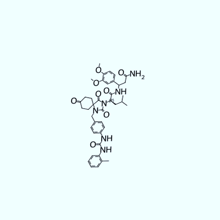 COc1ccc(C(CC(N)=O)NC(=O)[C@@H](CC(C)C)N2C(=O)N(Cc3ccc(NC(=O)Nc4ccccc4C)cc3)C3(CCC(=O)CC3)C2=O)cc1OC